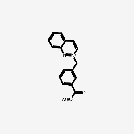 COC(=O)c1cccc(C[n+]2ccc3ccccc3n2)c1